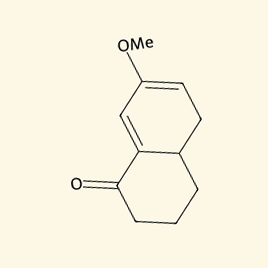 COC1=CCC2CCCC(=O)C2=C1